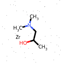 CC(O)CN(C)C.[Zr]